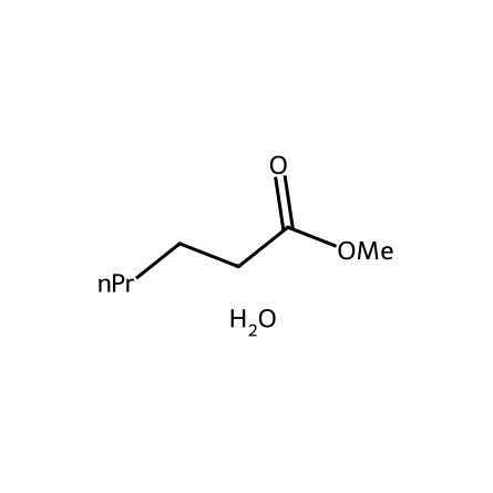 CCCCCC(=O)OC.O